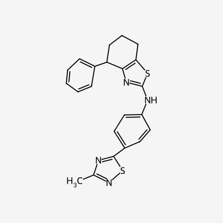 Cc1nsc(-c2ccc(Nc3nc4c(s3)CCCC4c3ccccc3)cc2)n1